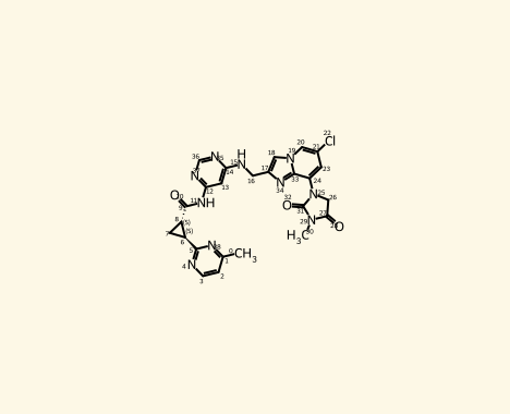 Cc1ccnc([C@H]2C[C@@H]2C(=O)Nc2cc(NCc3cn4cc(Cl)cc(N5CC(=O)N(C)C5=O)c4n3)ncn2)n1